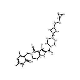 Cc1cc(C)c(CN2CCc3sc([C@H](C)[C@H]4CC[C@H](N5CC(OCC6CC6)C5)CC4)c(C)c3C2=O)c(=O)[nH]1